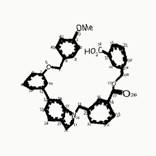 COc1ccc(COc2cccc(-c3ccc4ccn(Cc5cccc(C(=O)OCc6cccc(C(=O)O)c6)c5)c4c3)c2)cc1